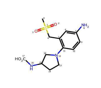 CS(=O)(=O)Cc1cc(N)ccc1N1CCC(NC(=O)O)C1